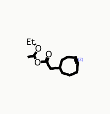 CCOC(C)OC(=O)CC1CC/C=C\CCC1